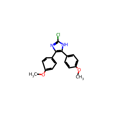 COc1ccc(-c2nc(Cl)[nH]c2-c2ccc(OC)cc2)cc1